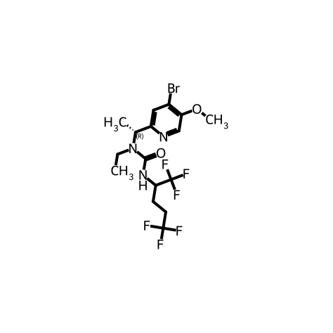 CCN(C(=O)NC(CCC(F)(F)F)C(F)(F)F)[C@H](C)c1cc(Br)c(OC)cn1